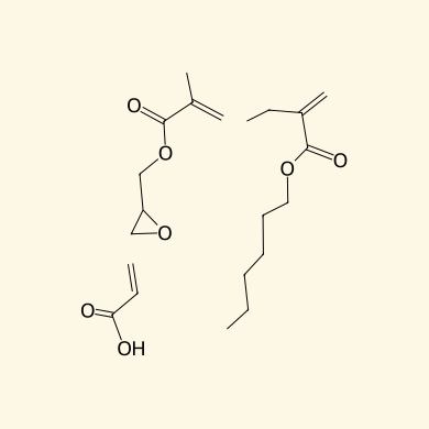 C=C(C)C(=O)OCC1CO1.C=C(CC)C(=O)OCCCCCC.C=CC(=O)O